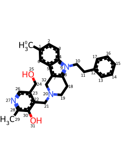 Cc1ccc2c(c1)c1c(n2CCc2ccccc2)CCN(Cc2c(CO)cnc(C)c2O)C1